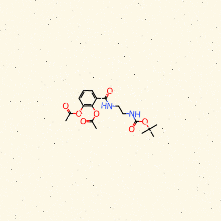 CC(=O)Oc1cccc(C(=O)NCCNC(=O)OC(C)(C)C)c1OC(C)=O